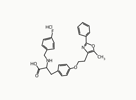 Cc1oc(-c2ccccc2)nc1CCOc1ccc(CC(NCc2ccc(F)cc2)C(=O)O)cc1.Cl